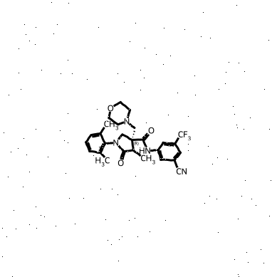 Cc1cccc(C)c1N1C[C@@](CN2CCOCC2)(C(=O)Nc2cc(C#N)cc(C(F)(F)F)c2)C(C)C1=O